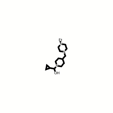 CCN1CCN(CC2CCN(C(O)C3CC3)CC2)CC1